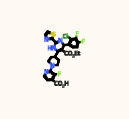 CCOC(=O)C1=C(C2CCN(c3nccc(C(=O)O)c3F)CC2)NC(c2nccs2)=NC1c1ccc(F)c(F)c1Cl